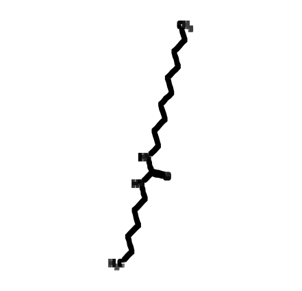 CCCCCCCCCCNC(=O)NCCCCCC